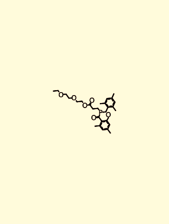 CCOCCOCCOC(=O)CCP(C(=O)c1c(C)cc(C)cc1C)C(=O)c1c(C)cc(C)cc1C